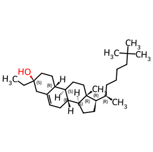 CC[C@]1(O)CC[C@H]2C(=CC[C@@H]3[C@@H]2CC[C@]2(C)[C@@H]([C@H](C)CCCCC(C)(C)C)CC[C@@H]32)C1